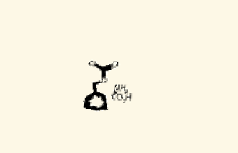 NC(=O)O.O=C(Cl)OCc1ccccc1